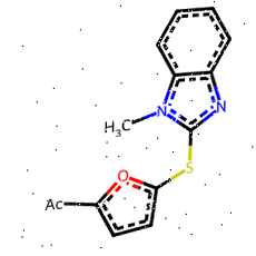 CC(=O)c1ccc(Sc2nc3ccccc3n2C)o1